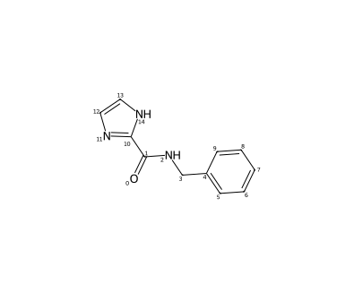 O=C(NCc1ccccc1)c1ncc[nH]1